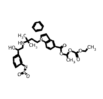 CCOC(=O)OC(C)OC(=O)c1ccc2c(ccn2CCC(C)(C)NCC(O)c2cccc(N=S(=O)=O)c2)c1.c1ccccc1